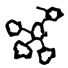 Cc1ccccc1-c1cc(-c2ccccc2)c(-c2ccccc2)c(-c2ccccc2)n1